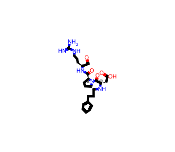 N=C(N)NCCC[C@@H](C=O)NC(=O)[C@@H]1CCCN1C(=O)[C@H](CC(=O)O)NCCCc1ccccc1